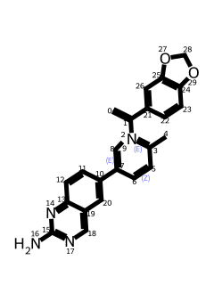 C=C(/N=C(C)/C=C\C(=C/C)c1ccc2nc(N)ncc2c1)c1ccc2c(c1)OCO2